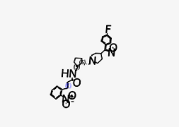 O=C(/C=C/c1ccccc1[N+](=O)[O-])NC[C@H]1CCC[C@@H]1CN1CCC(c2noc3cc(F)ccc23)CC1